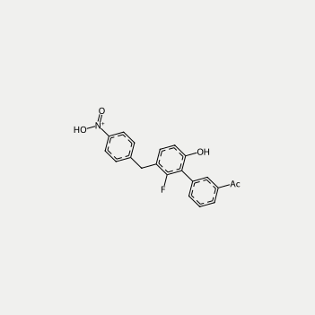 CC(=O)c1cccc(-c2c(O)ccc(Cc3ccc([N+](=O)O)cc3)c2F)c1